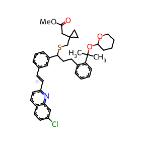 COC(=O)CC1(CSC(CCc2ccccc2C(C)(C)OC2CCCCO2)c2cccc(/C=C/c3ccc4ccc(Cl)cc4n3)c2)CC1